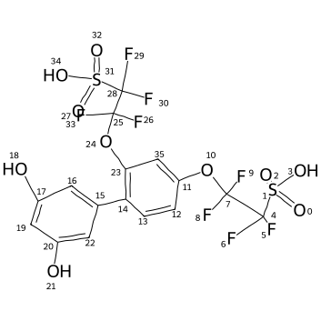 O=S(=O)(O)C(F)(F)C(F)(F)Oc1ccc(-c2cc(O)cc(O)c2)c(OC(F)(F)C(F)(F)S(=O)(=O)O)c1